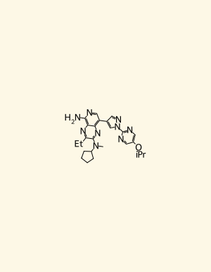 CCc1nc2c(N)ncc(-c3cnn(-c4ncc(OC(C)C)cn4)c3)c2nc1N(C)C1CCCC1